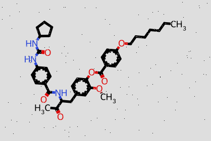 CCCCCCCOc1ccc(C(=O)Oc2ccc(CC(NC(=O)c3ccc(NC(=O)NC4CCCC4)cc3)C(C)=O)cc2OC)cc1